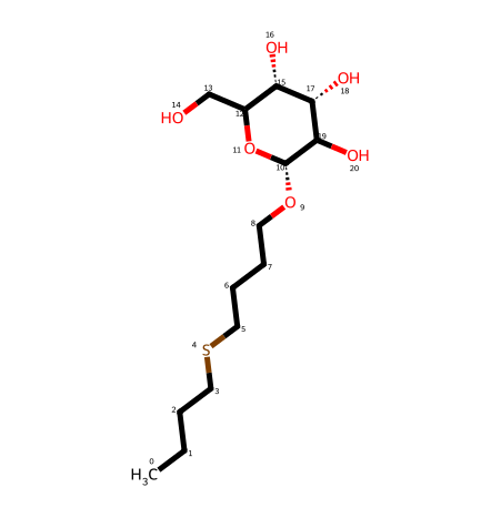 CCCCSCCCCO[C@@H]1OC(CO)[C@H](O)[C@H](O)C1O